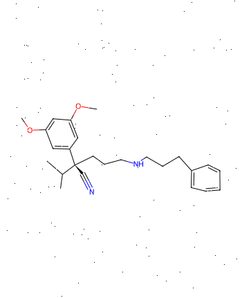 COc1cc(OC)cc([C@](C#N)(CCCNCCCc2ccccc2)C(C)C)c1